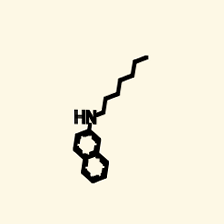 CCCCCCCNc1ccc2ccccc2c1